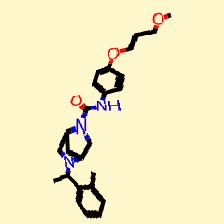 COCCCOc1ccc(NC(=O)N2CC3CC2CN3C(C)c2ccccc2C)cc1